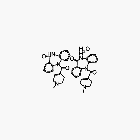 CN1CC=C(C(=O)N2c3ccccc3NC(=O)c3ccccc32)CC1.CN1CC=C(C(=O)N2c3ccccc3NC(=O)c3ccccc32)CC1.O